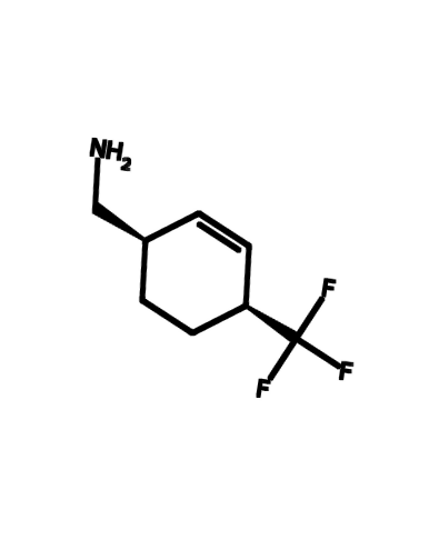 NC[C@H]1C=C[C@@H](C(F)(F)F)CC1